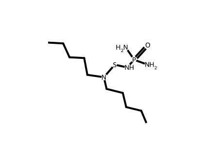 CCCCCN(CCCCC)SNP(N)(N)=O